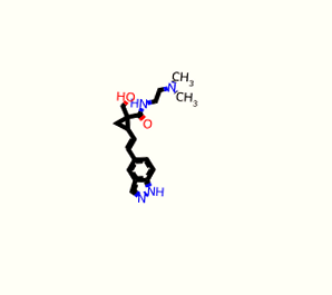 CN(C)CCNC(=O)C1(CO)CC1/C=C/c1ccc2[nH]ncc2c1